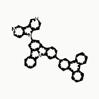 c1ccc2c(c1)c1ccccc1c1cc(-c3ccc4c5cc(-n6c7ccncc7c7cnccc76)cc6c7ccccc7n(c4c3)c65)ccc21